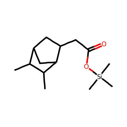 CC1C2CC(CC(=O)O[Si](C)(C)C)C(C2)C1C